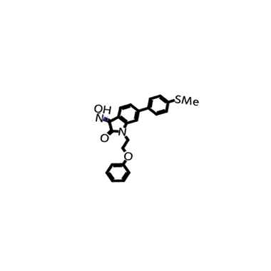 CSc1ccc(-c2ccc3c(c2)N(CCOc2ccccc2)C(=O)/C3=N/O)cc1